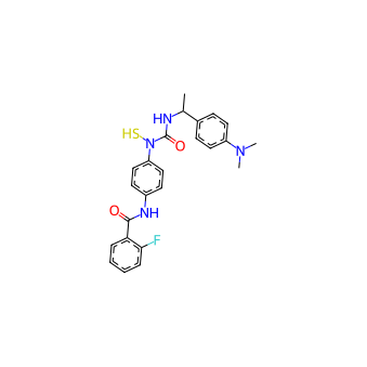 CC(NC(=O)N(S)c1ccc(NC(=O)c2ccccc2F)cc1)c1ccc(N(C)C)cc1